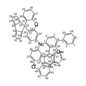 c1ccc(-c2ccc(N(c3ccc4c(c3)Oc3ccccc3C43c4ccccc4-c4ccccc43)c3ccc4oc5cccc(-c6ccccc6)c5c4c3)c3c2oc2ccccc23)cc1